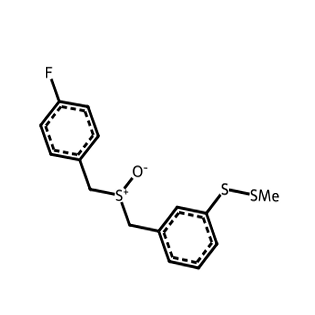 CSSc1cccc(C[S+]([O-])Cc2ccc(F)cc2)c1